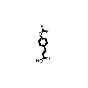 O=C(O)/C=C/c1ccc(OC(F)F)cc1